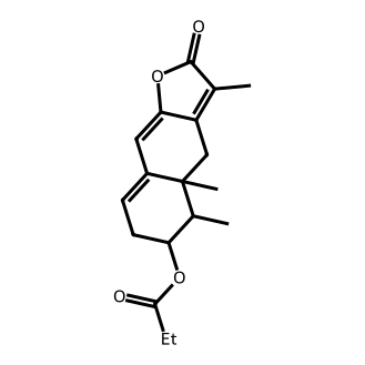 CCC(=O)OC1CC=C2C=C3OC(=O)C(C)=C3CC2(C)C1C